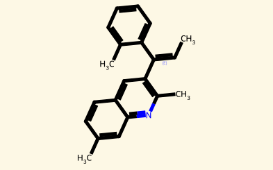 C/C=C(\c1ccccc1C)c1cc2ccc(C)cc2nc1C